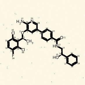 C[C@H](Oc1cc(-c2ccc(C(=O)NC[C@H](O)c3ccccc3)cc2)cnc1N)c1c(Cl)ccc(F)c1Cl